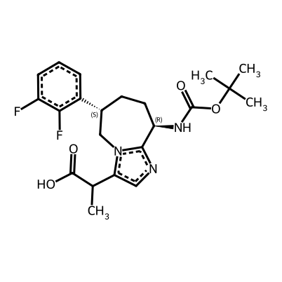 CC(C(=O)O)c1cnc2n1C[C@H](c1cccc(F)c1F)CC[C@H]2NC(=O)OC(C)(C)C